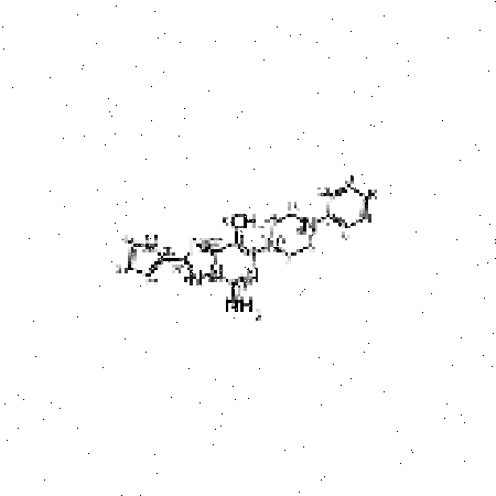 Cc1c(N2CCN(c3ccccc3)CC2)nc(N)n2nc(-c3ccco3)nc12